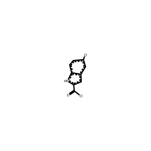 O=C(Cl)c1cc2cc(Cl)ccc2[nH]1